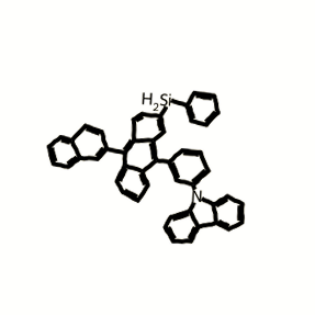 c1ccc([SiH2]c2ccc3c(-c4ccc5ccccc5c4)c4ccccc4c(-c4cccc(-n5c6ccccc6c6ccccc65)c4)c3c2)cc1